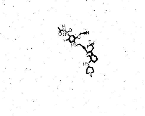 CC(=O)NS(=O)(=O)c1cc(OCC#N)c(NCC#Cc2sc3c(NC4CCN(C)CC4)cccc3c2CC(F)(F)F)cc1F